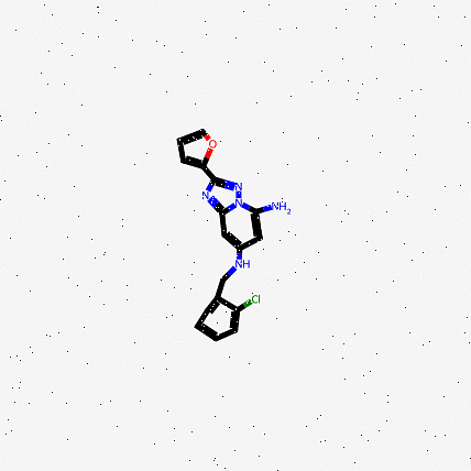 Nc1cc(NCc2ccccc2Cl)cc2nc(-c3ccco3)nn12